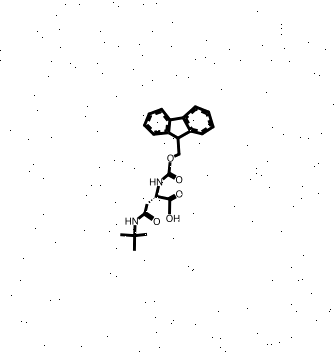 CC(C)(C)NC(=O)C[C@H](NC(=O)OCC1c2ccccc2-c2ccccc21)C(=O)O